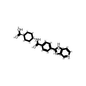 O=C(N[C@H]1CC[C@H](C(=O)O)CC1)c1ccc(-c2nc3cnccc3[nH]2)cc1